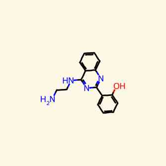 NCCNc1nc(-c2ccccc2O)nc2ccccc12